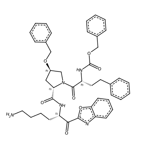 NCCCC[C@H](NC(=O)[C@@H]1C[C@@H](OCc2ccccc2)CN1C(=O)[C@@H](CCc1ccccc1)NC(=O)OCc1ccccc1)C(=O)c1nc2ccccc2o1